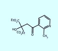 CCOC(=O)C(O)(CC(=O)c1cccnc1C)C(=O)OCC